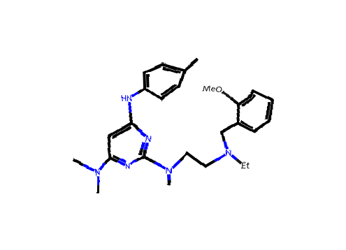 CCN(CCN(C)c1nc(Nc2ccc(C)cc2)cc(N(C)C)n1)Cc1ccccc1OC